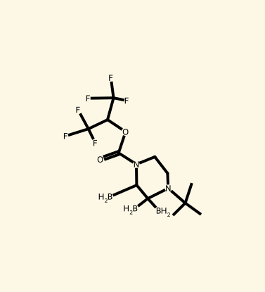 BC1N(C(=O)OC(C(F)(F)F)C(F)(F)F)CCN(C(C)(C)C)C1(B)B